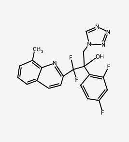 Cc1cccc2ccc(C(F)(F)C(O)(Cn3cnnn3)c3ccc(F)cc3F)nc12